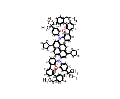 CCc1ccccc1-c1cccc2c1oc1c(N(c3ccc(C(C)(C)C)cc3)c3cc(C4CCCC4)c4ccc5c(N(c6ccc(C(C)(C)C)cc6)c6cccc7c6oc6c(-c8ccccc8CC)cccc67)cc(C6CCCC6)c6ccc3c4c65)cccc12